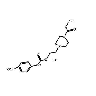 CC(C)(C)OC(=O)N1CCN(CCOC(=O)Nc2ccc(C(=O)[O-])cc2)CC1.[Li+]